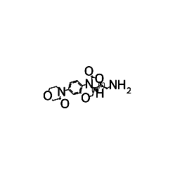 NC[C@@H]1OC(=O)N2c3ccc(N4CCOCC4=O)cc3OC[C@H]12